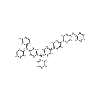 Cc1cccc(N(c2ccccc2)c2ccc(N(c3ccccc3)c3ccc(-c4ccc(-c5ccc(Cc6ccccc6)cc5)cc4)cc3)cc2)c1